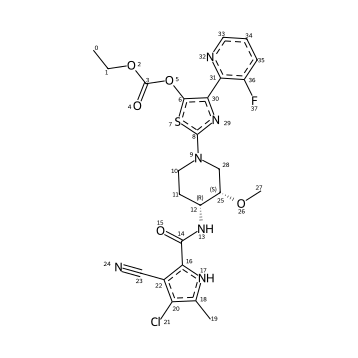 CCOC(=O)Oc1sc(N2CC[C@@H](NC(=O)c3[nH]c(C)c(Cl)c3C#N)[C@@H](OC)C2)nc1-c1ncccc1F